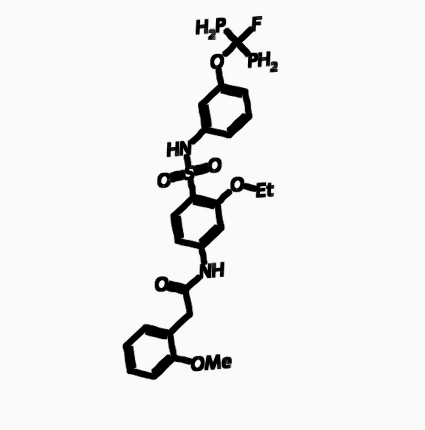 CCOc1cc(NC(=O)Cc2ccccc2OC)ccc1S(=O)(=O)Nc1cccc(OC(F)(P)P)c1